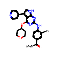 CNC(=O)c1ccc(Nc2nc(OC3CCOCC3)c3c(-c4ccncc4)c[nH]c3n2)c(C(C)C)c1